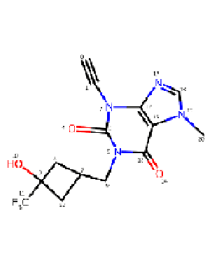 C#Cn1c(=O)n(CC2CC(O)(C(F)(F)F)C2)c(=O)c2c1ncn2C